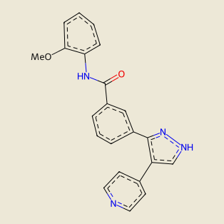 COc1ccccc1NC(=O)c1cccc(-c2n[nH]cc2-c2ccncc2)c1